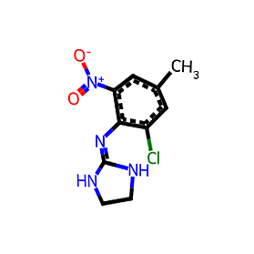 Cc1cc(Cl)c(N=C2NCCN2)c([N+](=O)[O-])c1